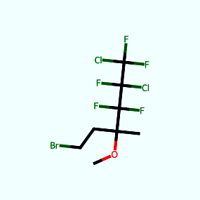 COC(C)(CCBr)C(F)(F)C(F)(Cl)C(F)(F)Cl